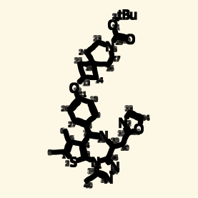 Cc1sc2c(c1C)C(c1ccc(OC3CC4(CCN(C(=O)OC(C)(C)C)CC4)C3)cc1)=NC(Cc1ncco1)c1nnc(C)n1-2